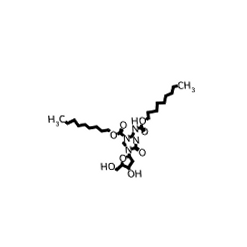 CCCCCCCCCOC(=O)NC1=NC(=O)N(C2CC(O)C(CO)O2)CN1C(=O)OCCCCCCCCC